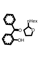 CCCCCCC1CCCO1.O=C(c1ccccc1)c1ccccc1O